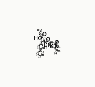 CCOC(=O)C(O)CC(Cc1ccc(-c2ccccc2)cc1)NC(=O)c1cc(C(=O)N(C)CC(C)C)n[nH]1